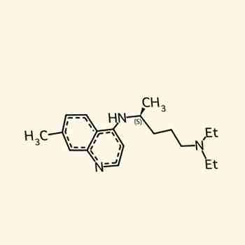 CCN(CC)CCC[C@H](C)Nc1ccnc2cc(C)ccc12